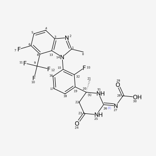 Cc1nc2ccc(F)c(C(F)(F)F)c2n1-c1cccc([C@]2(C)CC(=O)N/C(=N/C(=O)O)N2)c1F